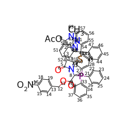 CC(=O)Oc1c(CC2C(=O)N(C(C(=O)OCc3ccc([N+](=O)[O-])cc3)=P(c3ccccc3)(c3ccccc3)c3ccccc3)C2SC(c2ccccc2)(c2ccccc2)c2ccccc2)nnn1C